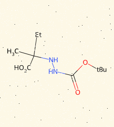 CCC(C)(NNC(=O)OC(C)(C)C)C(=O)O